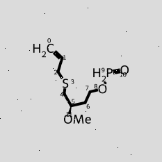 C=CCSC[C@@H](CCO[PH2]=O)OC